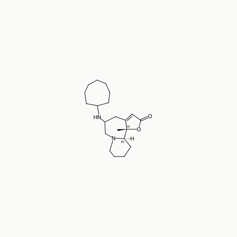 C[C@]12OC(=O)C=C1CC(NC1CCCCCCC1)CN1CCCC[C@@H]12